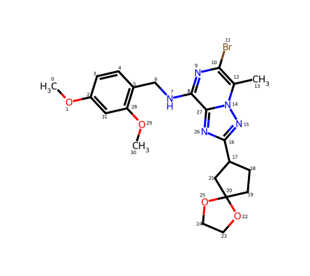 COc1ccc(CNc2nc(Br)c(C)n3nc(C4CCC5(C4)OCCO5)nc23)c(OC)c1